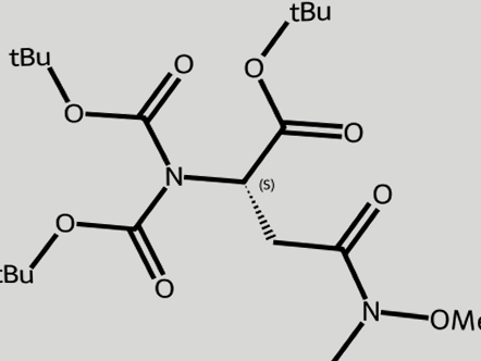 CON(C)C(=O)C[C@@H](C(=O)OC(C)(C)C)N(C(=O)OC(C)(C)C)C(=O)OC(C)(C)C